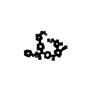 Cc1cc(-c2nc(N[C@H]3CC[C@H](N(C(=O)NCc4ccccc4)c4ccc(-c5cnn(C)c5)cn4)CC3)ncc2C#N)[nH]n1